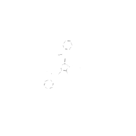 Cc1ccc2c(c1)S/C(=c1/s/c(=C3/Cc4ccccc4C3=O)n(C)c1=O)N2C